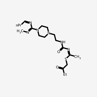 CCC/C=N\C(=N/C)N1CCN(CCNC(=O)/N=C(/C)SCC(=O)CC)CC1